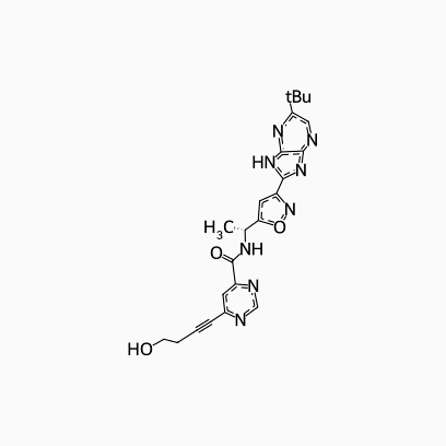 C[C@@H](NC(=O)c1cc(C#CCCO)ncn1)c1cc(-c2nc3ncc(C(C)(C)C)nc3[nH]2)no1